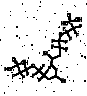 CCC(CCC(CC)CC(F)(F)C(F)(F)OC(F)(F)C(F)(F)P(=O)(O)O)CC(F)(F)C(F)(F)OC(F)(F)C(F)(F)P(=O)(O)O